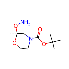 CC(C)(C)OC(=O)N1CCO[C@@](C)(ON)C1